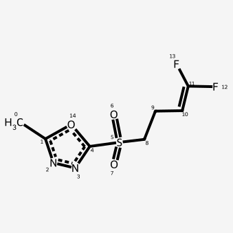 Cc1nnc(S(=O)(=O)CCC=C(F)F)o1